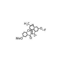 COc1ccc(C)c(C(=O)NC2(c3cc(OCF)cc4nc(C)ccc34)CC2)c1